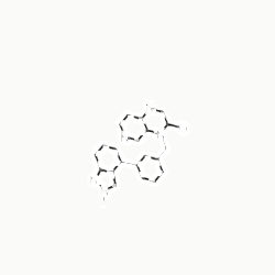 Cn1cc2c(-c3cccc(Cn4c(=O)cnc5ccncc54)c3)cccc2n1